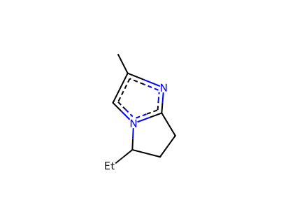 CCC1CCc2nc(C)cn21